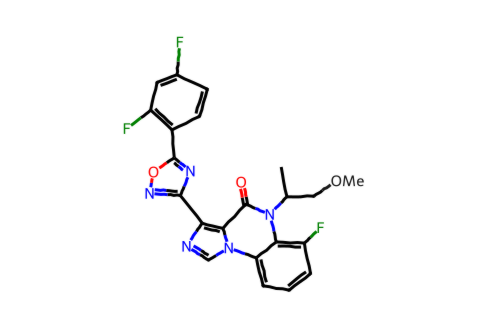 COCC(C)n1c(=O)c2c(-c3noc(-c4ccc(F)cc4F)n3)ncn2c2cccc(F)c21